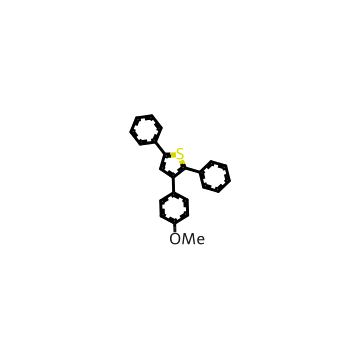 COc1ccc(-c2cc(-c3ccccc3)sc2-c2ccccc2)cc1